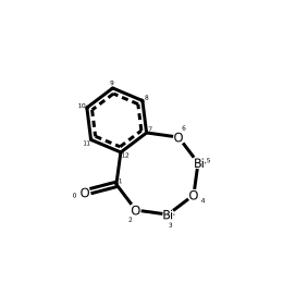 O=C1[O][Bi][O][Bi][O]c2ccccc21